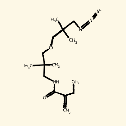 C=C(CO)C(=O)NCC(C)(C)COCC(C)(C)CN=[N+]=[N-]